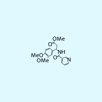 COC(=O)CC(NC(=O)c1cccnc1)c1ccc(OC)c(OC)c1